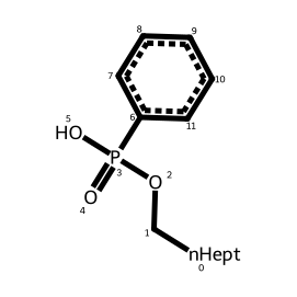 CCCCCCCCOP(=O)(O)c1ccccc1